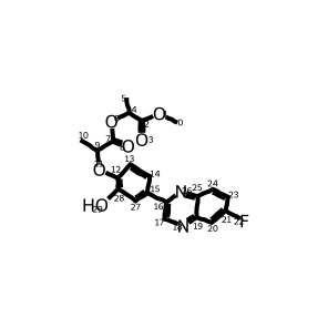 COC(=O)C(C)OC(=O)C(C)Oc1ccc(-c2cnc3cc(F)ccc3n2)cc1O